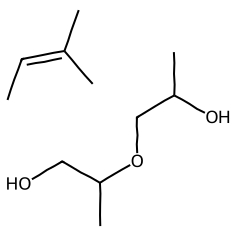 CC(O)COC(C)CO.CC=C(C)C